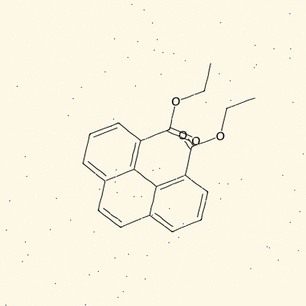 CCOC(=O)c1cccc2ccc3cccc(C(=O)OCC)c3c12